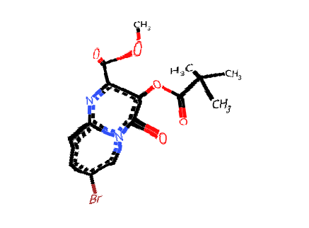 COC(=O)c1nc2ccc(Br)cn2c(=O)c1OC(=O)C(C)(C)C